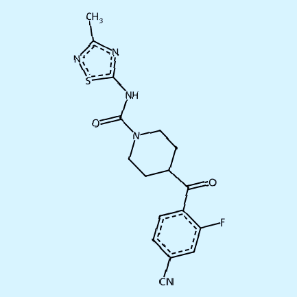 Cc1nsc(NC(=O)N2CCC(C(=O)c3ccc(C#N)cc3F)CC2)n1